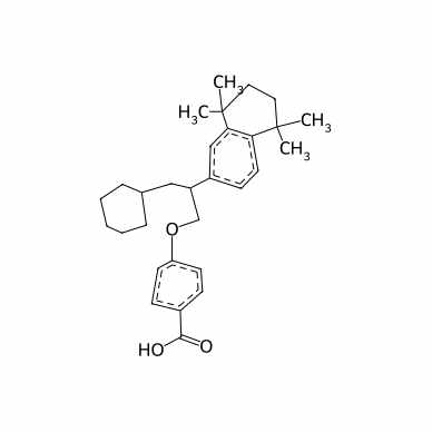 CC1(C)CCC(C)(C)c2cc(C(COc3ccc(C(=O)O)cc3)CC3CCCCC3)ccc21